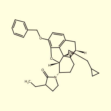 CCC1CCN([C@H]2CC[C@@]3(O)[C@H]4Cc5ccc(OCc6ccccc6)c6c5[C@@]3(CCN4CC3CC3)[C@H]2O6)C1=O